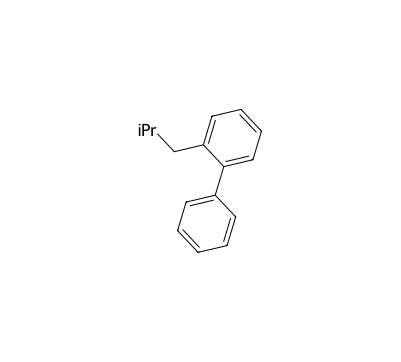 CC(C)Cc1ccccc1-c1ccccc1